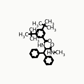 CNC(=O)C(NC(=O)c1cc(C(C)(C)C)cc(C(C)(C)C)c1)C(c1ccccc1)c1ccccc1